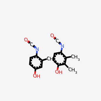 Cc1c(O)ccc(N=C=O)c1C.Cc1cc(O)ccc1N=C=O